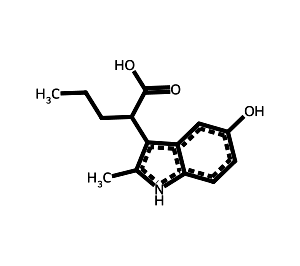 CCCC(C(=O)O)c1c(C)[nH]c2ccc(O)cc12